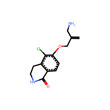 C=C(CN)COc1ccc2c(c1Cl)CCNC2=O